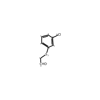 O=[C]CSc1cccc(Cl)c1